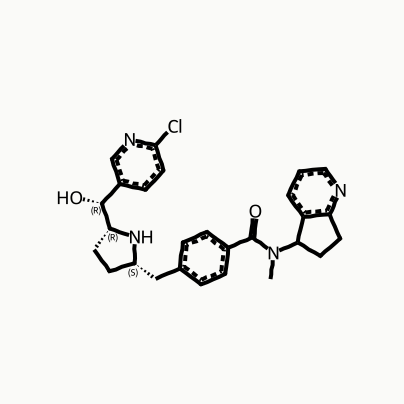 CN(C(=O)c1ccc(C[C@@H]2CC[C@H]([C@H](O)c3ccc(Cl)nc3)N2)cc1)C1CCc2ncccc21